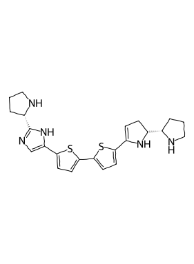 C1=C(c2ccc(-c3ccc(-c4cnc([C@@H]5CCCN5)[nH]4)s3)s2)NC([C@@H]2CCCN2)C1